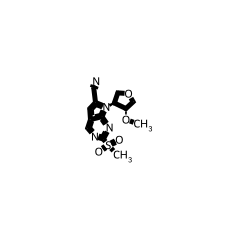 CO[C@H]1COC[C@@H]1n1c(C#N)cc2cnc(S(C)(=O)=O)nc21